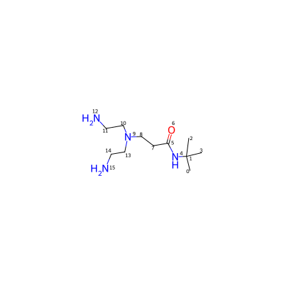 CC(C)(C)NC(=O)CCN(CCN)CCN